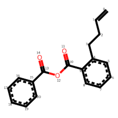 C=CCCc1ccccc1C(=O)OC(=O)c1ccccc1